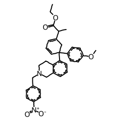 CCOC(=O)C(C)C1=CC=CC(c2ccc(OC)cc2)(c2cccc3c2CCN(Cc2ccc([N+](=O)[O-])cc2)C3)C1